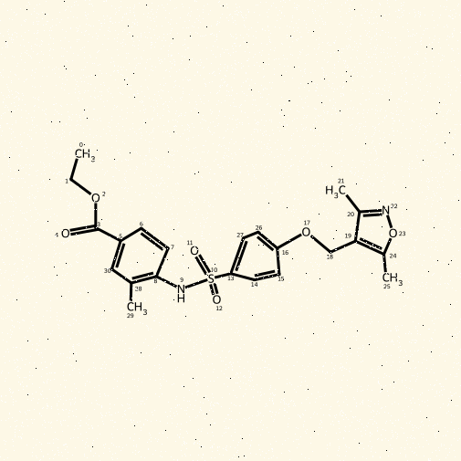 CCOC(=O)c1ccc(NS(=O)(=O)c2ccc(OCc3c(C)noc3C)cc2)c(C)c1